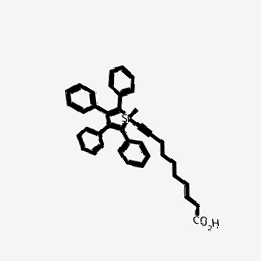 C[Si]1(C#CCCCCCCCC(=O)O)C(c2ccccc2)=C(c2ccccc2)C(c2ccccc2)=C1c1ccccc1